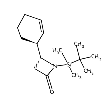 CC(C)(C)[Si](C)(C)N1C(=O)C[C@@H]1[C@@H]1C=CCCC1